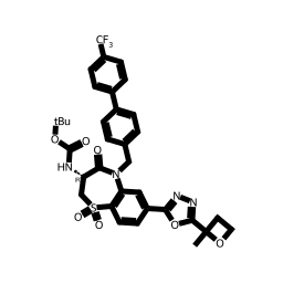 CC(C)(C)OC(=O)N[C@H]1CS(=O)(=O)c2ccc(-c3nnc(C4(C)CCO4)o3)cc2N(Cc2ccc(-c3ccc(C(F)(F)F)cc3)cc2)C1=O